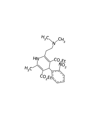 CCOC(=O)C1=C(C)NC(CCN(C)C)=C(C(=O)OCC)C1c1ccccc1[N+](=O)[O-]